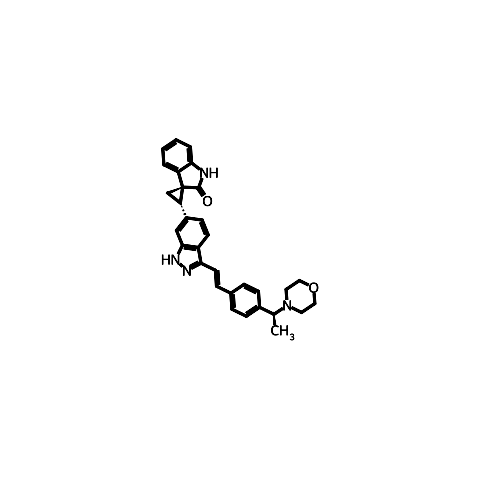 C[C@@H](c1ccc(/C=C/c2n[nH]c3cc([C@@H]4C[C@@]45C(=O)Nc4ccccc45)ccc23)cc1)N1CCOCC1